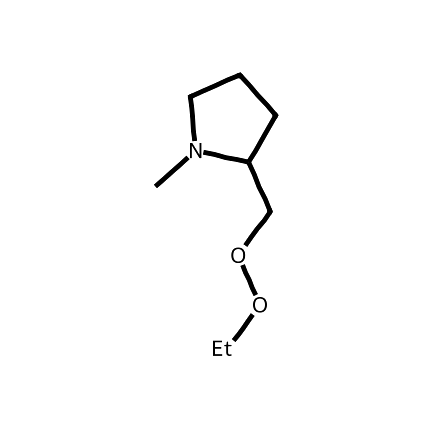 CCOOCC1CCCN1C